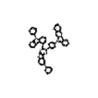 c1ccc(-c2ccc3oc4nc(-c5cccc6c5c5ccccc5n6-c5ccccc5)c(-c5ccc(-n6c7ccccc7c7cc8ccccc8cc76)cc5)nc4c3c2)cc1